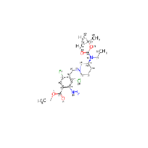 CCOC(=O)c1cc(F)c(CN2CCC[C@H](N(CC)C(=O)OC(C)(C)C)C2)c(Cl)c1N